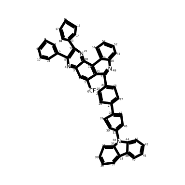 FC(F)(F)c1cc2nc(-c3ccccc3)c(-c3ccccc3)nc2c2c1c(-c1ccc(-c3ccc(-n4c5ccccc5c5ccccc54)cc3)cc1)nc1ccccc12